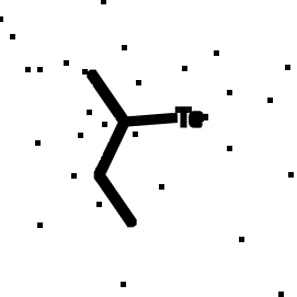 CCC(C)[Te]